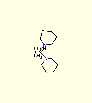 C1CCN(CN2CCCCC2)CC1.CC(=O)O